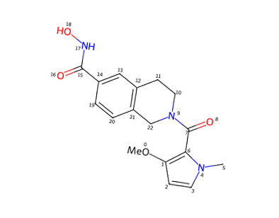 COc1ccn(C)c1C(=O)N1CCc2cc(C(=O)NO)ccc2C1